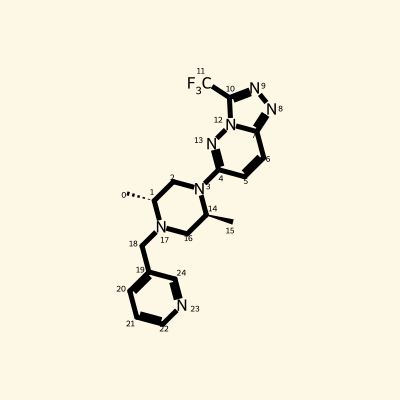 C[C@@H]1CN(c2ccc3nnc(C(F)(F)F)n3n2)[C@@H](C)CN1Cc1cccnc1